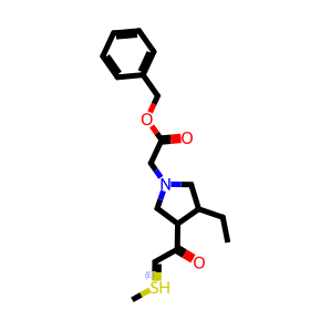 CCC1CN(CC(=O)OCc2ccccc2)CC1C(=O)/C=[SH]/C